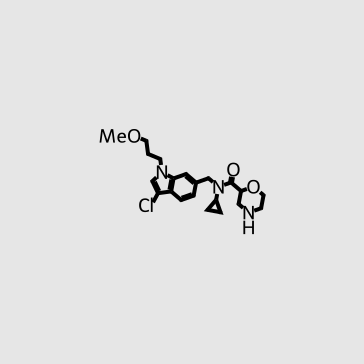 COCCCn1cc(Cl)c2ccc(CN(C(=O)C3CNCCO3)C3CC3)cc21